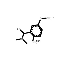 CCC(c1cc(OC(=O)O)ccc1[N+](=O)[O-])N(C)C.Cl